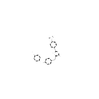 Cc1oc(-c2ccc([N+](=O)[O-])cc2)nc1Cc1ccc(Oc2ccc(F)cc2)cc1